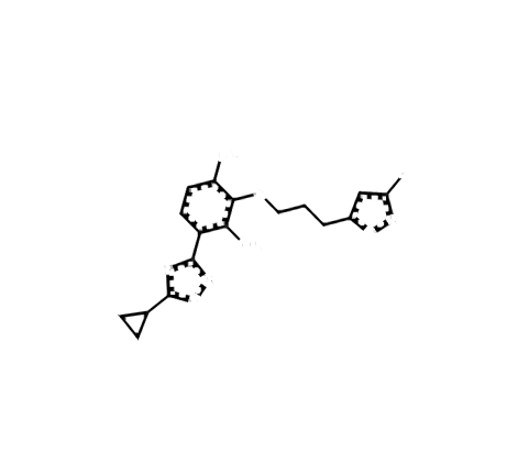 CCc1cc(CCCOc2c(C)ccc(-c3noc(C4CC4)n3)c2C)on1